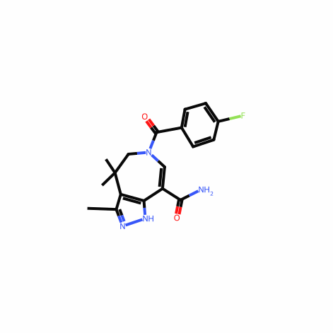 Cc1n[nH]c2c1C(C)(C)CN(C(=O)c1ccc(F)cc1)C=C2C(N)=O